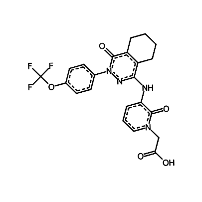 O=C(O)Cn1cccc(Nc2nn(-c3ccc(OC(F)(F)F)cc3)c(=O)c3c2CCCC3)c1=O